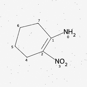 NC1=C([N+](=O)[O-])CCCC1